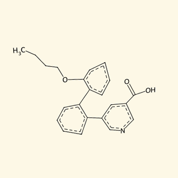 CCCCOc1ccccc1-c1ccccc1-c1cncc(C(=O)O)c1